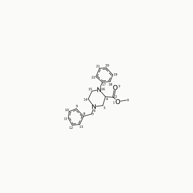 COC(=O)C1CN(Cc2ccccc2)CCN1c1ccccc1